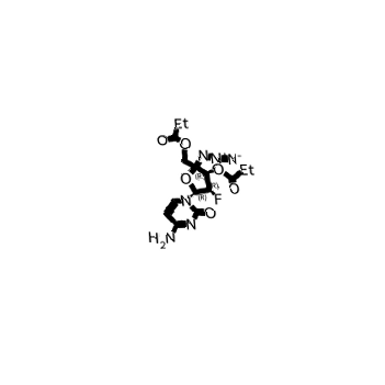 CCC(=O)OCC1(N=[N+]=[N-])O[C@@H](n2ccc(N)nc2=O)[C@H](F)[C@@H]1OC(=O)CC